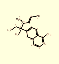 CO[C@@](C)(C1=CC=C2C(N)=NC=NN2C1)[C@@H](C)/C=C/O